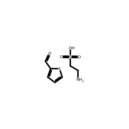 NCCS(=O)(=O)O.O=Cc1cccs1